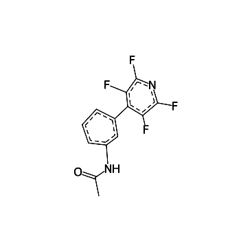 CC(=O)Nc1cccc(-c2c(F)c(F)nc(F)c2F)c1